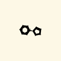 C1=C[C@@H](c2ccccc2)CC1